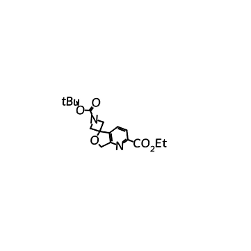 CCOC(=O)c1ccc2c(n1)COC21CN(C(=O)OC(C)(C)C)C1